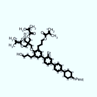 C=C(C)C(=O)OCCCc1cc(-c2ccc(-c3ccc(C4CCC(CCCCC)CC4)cc3)cc2CC)cc(CCCO)c1OCC(CO)(COC(=O)C(=C)C)COC(=O)C(=C)C